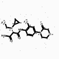 NC(=O)[C@@H](C(=O)Nc1ccc(N2CCOCC2=O)cc1C(F)(F)F)N(CC(F)(F)F)C1CC1